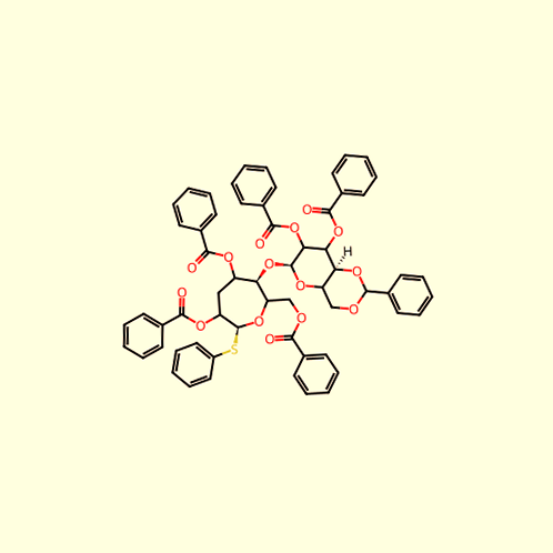 O=C(OCC1O[C@@H](Sc2ccccc2)C(OC(=O)c2ccccc2)CC(OC(=O)c2ccccc2)[C@H]1O[C@@H]1OC2COC(c3ccccc3)O[C@@H]2C(OC(=O)c2ccccc2)C1OC(=O)c1ccccc1)c1ccccc1